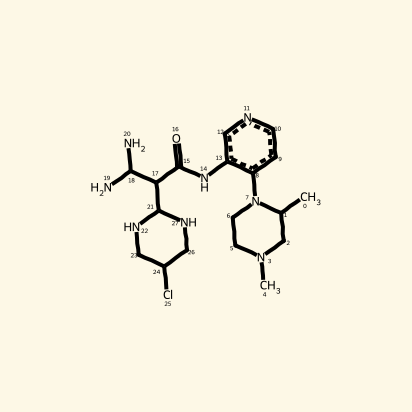 CC1CN(C)CCN1c1ccncc1NC(=O)C(C(N)N)C1NCC(Cl)CN1